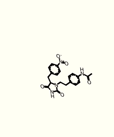 CC(=O)Nc1ccc(CCN2C(=O)NC(=O)C2Cc2ccc([N+](=O)[O-])cc2)cc1